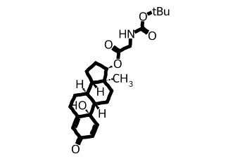 CC(C)(C)OC(=O)NCC(=O)O[C@H]1CC[C@H]2[C@@H]3CCC4=CC(=O)C=C[C@]4(O)[C@H]3CC[C@]12C